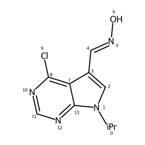 CC(C)n1cc(C=NO)c2c(Cl)ncnc21